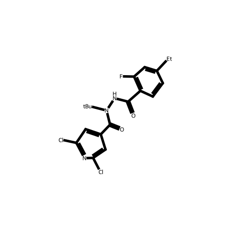 CCc1ccc(C(=O)NN(C(=O)c2cc(Cl)nc(Cl)c2)C(C)(C)C)c(F)c1